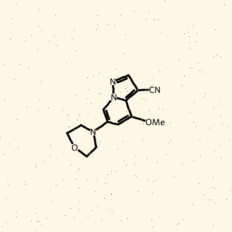 COc1cc(N2CCOCC2)cn2ncc(C#N)c12